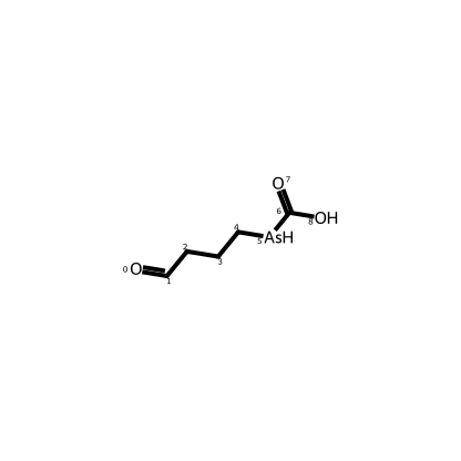 O=CCCC[AsH]C(=O)O